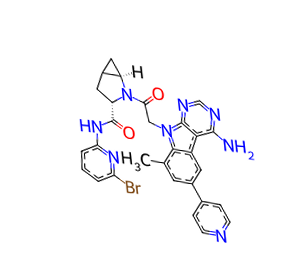 Cc1cc(-c2ccncc2)cc2c3c(N)ncnc3n(CC(=O)N3[C@@H]4CC4C[C@H]3C(=O)Nc3cccc(Br)n3)c12